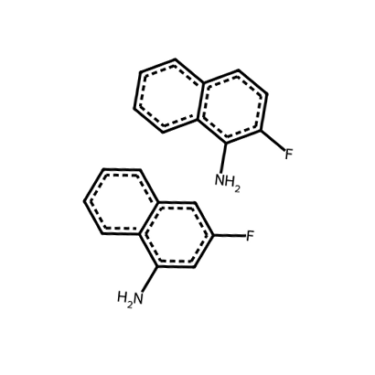 Nc1c(F)ccc2ccccc12.Nc1cc(F)cc2ccccc12